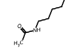 CC(=O)NCCCCCl